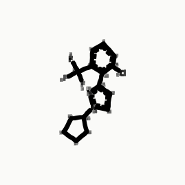 FC(F)(F)c1cccc(Cl)c1-c1ccn(C2CCCC2)n1